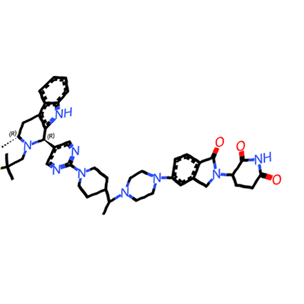 CC(C1CCN(c2ncc([C@@H]3c4[nH]c5ccccc5c4C[C@@H](C)N3CC(C)(C)F)cn2)CC1)N1CCN(c2ccc3c(c2)CN(C2CCC(=O)NC2=O)C3=O)CC1